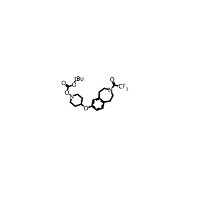 CC(C)(C)OC(=O)ON1CCC(Oc2ccc3c(c2)CCN(C(=O)C(F)(F)F)CC3)CC1